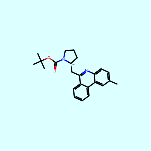 Cc1ccc2nc(C[C@@H]3CCCN3C(=O)OC(C)(C)C)c3ccccc3c2c1